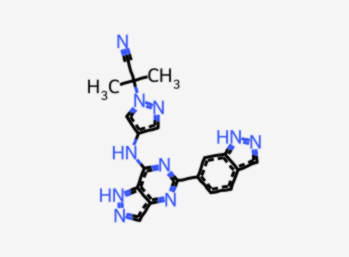 CC(C)(C#N)n1cc(Nc2nc(-c3ccc4cn[nH]c4c3)nc3cn[nH]c23)cn1